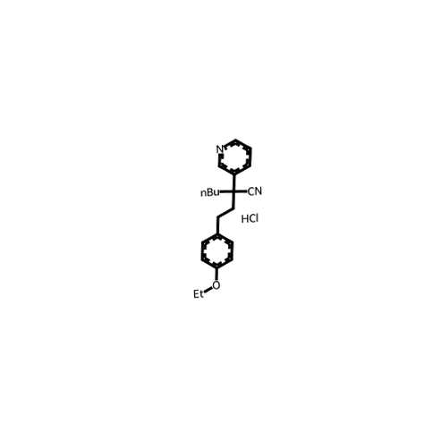 CCCCC(C#N)(CCc1ccc(OCC)cc1)c1cccnc1.Cl